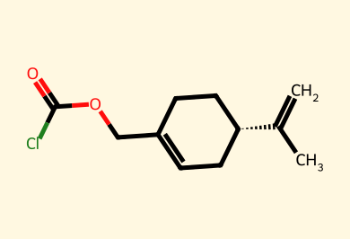 C=C(C)[C@@H]1CC=C(COC(=O)Cl)CC1